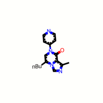 CCCCc1cn(-c2ccncc2)c(=O)c2c(C)ncn12